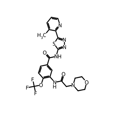 Cc1cccnc1-c1nnc(NC(=O)c2ccc(OC(F)(F)F)c(NC(=O)CN3CCOCC3)c2)s1